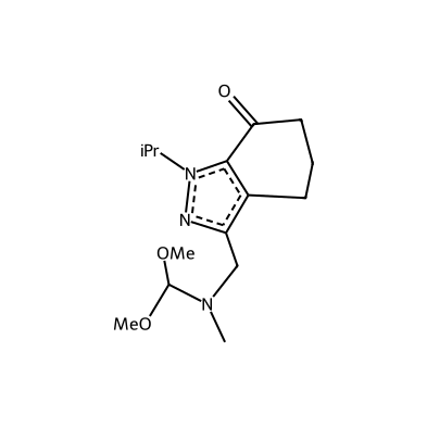 COC(OC)N(C)Cc1nn(C(C)C)c2c1CCCC2=O